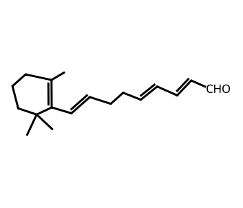 CC1=C(/C=C/CC/C=C/C=C/C=O)C(C)(C)CCC1